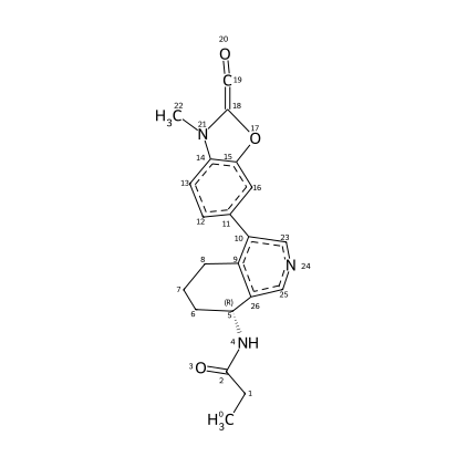 CCC(=O)N[C@@H]1CCCc2c(-c3ccc4c(c3)OC(=C=O)N4C)cncc21